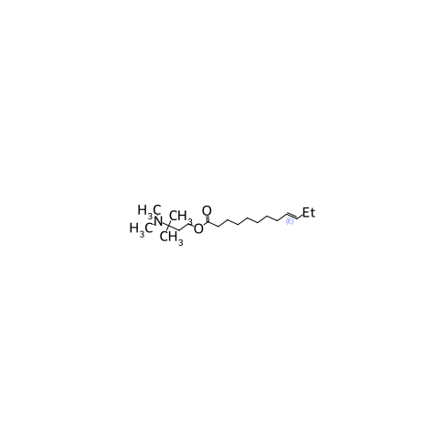 CC/C=C/CCCCCCCC(=O)OCCC(C)(C)N(C)C